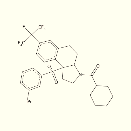 CC(C)c1cccc(S(=O)(=O)C23CCN(C(=O)C4CCCCC4)C2CCc2cc(C(F)(C(F)(F)F)C(F)(F)F)ccc23)c1